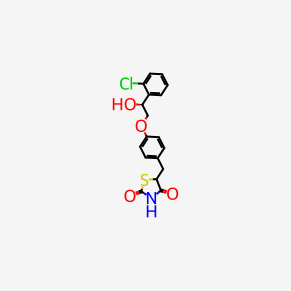 O=C1NC(=O)C(Cc2ccc(OC[C@@H](O)c3ccccc3Cl)cc2)S1